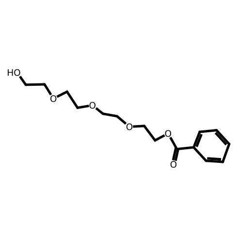 O=C(OCCOCCOCCOCCO)c1ccccc1